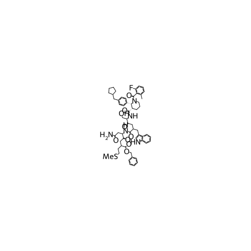 CSCCC(CC(=O)C(CC(N)=O)NC(=O)C(CC(=O)C(CO)NC(=O)[C@H]1CCCN(C(=O)c2c(C)cccc2F)[C@H]1c1ccc(CC2CCCC2)cc1)Cc1c[nH]c2ccccc12)C(=O)OCc1ccccc1